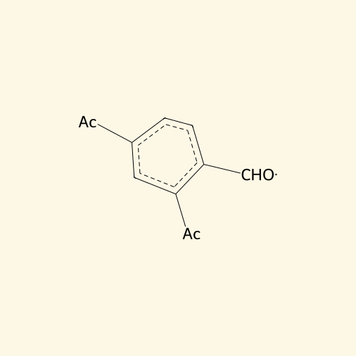 CC(=O)c1ccc([C]=O)c(C(C)=O)c1